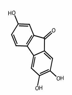 O=C1c2cc(O)ccc2-c2cc(O)c(O)cc21